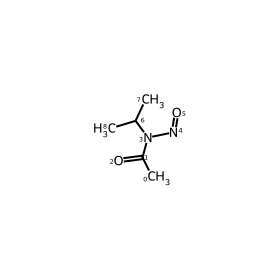 CC(=O)N(N=O)C(C)C